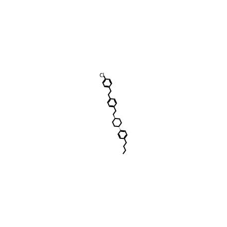 CCCCc1ccc([C@H]2CC[C@H](CCc3ccc(CCc4ccc(Cl)cc4)cc3)CC2)cc1